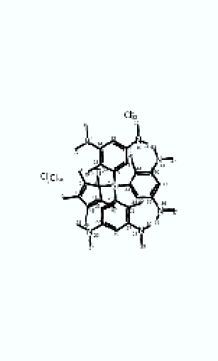 CC1=C(C)[C]([Ti+3])([Si](c2cc(N(C)C)cc(N(C)C)c2C)(c2cc(N(C)C)cc(N(C)C)c2C)c2cc(N(C)C)cc(N(C)C)c2C)C(C)=C1C.[Cl-].[Cl-].[Cl-]